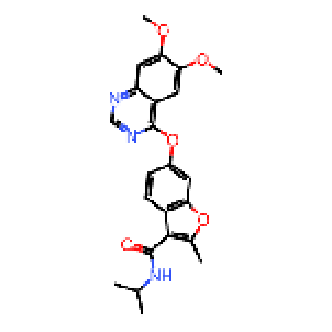 COc1cc2ncnc(Oc3ccc4c(C(=O)NC(C)C)c(C)oc4c3)c2cc1OC